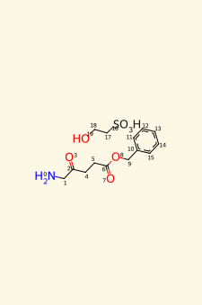 NCC(=O)CCC(=O)OCc1ccccc1.O=S(=O)(O)CCO